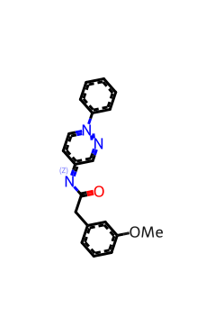 COc1cccc(CC(=O)/N=c2/ccn(-c3ccccc3)nc2)c1